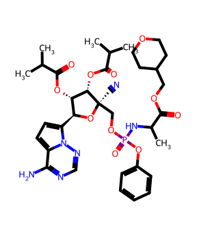 CC(C)C(=O)O[C@H]1[C@H](c2ccc3c(N)ncnn23)O[C@](C#N)(COP(=O)(NC(C)C(=O)OCC2CCOCC2)Oc2ccccc2)[C@H]1OC(=O)C(C)C